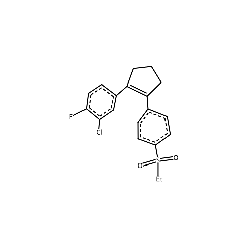 CCS(=O)(=O)c1ccc(C2=C(c3ccc(F)c(Cl)c3)CCC2)cc1